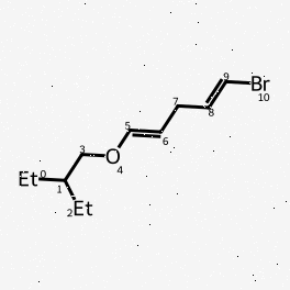 CCC(CC)CO/C=C/C/C=C/Br